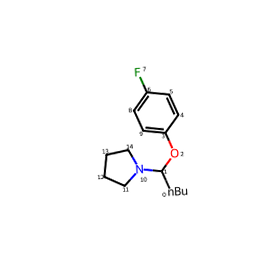 CCCCC(Oc1ccc(F)cc1)N1CCCC1